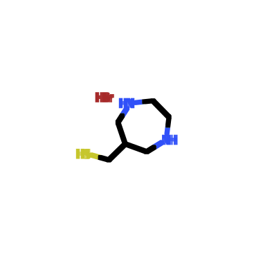 Br.SCC1CNCCNC1